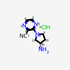 Cl.N#Cc1nccnc1N1CC[C@H](N)C1